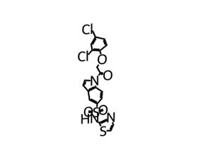 O=C(COc1ccc(Cl)cc1Cl)n1ccc2cc(S(=O)(=O)Nc3nccs3)ccc21